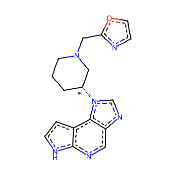 c1coc(CN2CCC[C@@H](n3cnc4cnc5[nH]ccc5c43)C2)n1